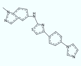 Cn1ncc2cc(Nc3nc(-c4ccc(-n5ccnc5)cc4)cs3)ccc21